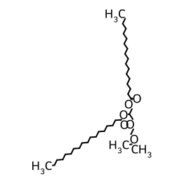 CCCCCCCCCCCCCCCCCC(=O)OCC(COCCOC(C)C)OC(=O)CCCCCCCCCCCCCCCCC